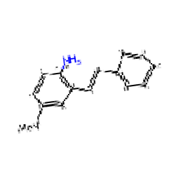 CNc1ccc(N)c(/C=C/c2ccccc2)c1